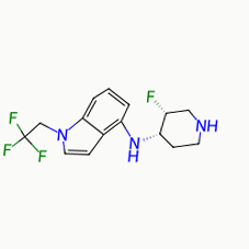 F[C@@H]1CNCC[C@@H]1Nc1cccc2c1ccn2CC(F)(F)F